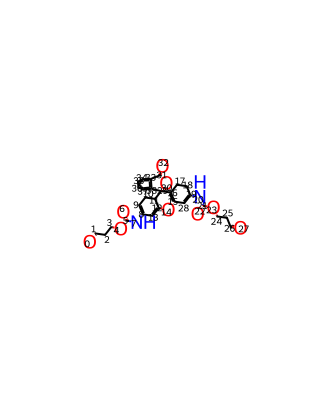 O=CCCOC(=O)NC1=CCC2C(=C1)OC1=C(CCC(NC(=O)OCCC=O)=C1)C21OC(=O)c2ccccc21